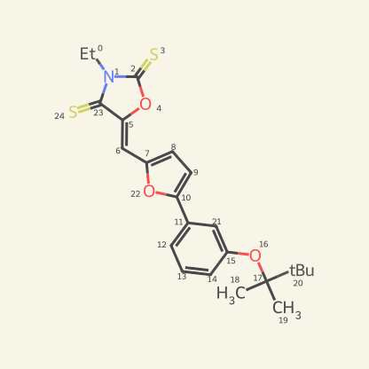 CCN1C(=S)O/C(=C\c2ccc(-c3cccc(OC(C)(C)C(C)(C)C)c3)o2)C1=S